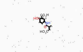 C/C(=C/C(=O)O)C(=O)Nc1ccc(O)c(C(=O)O)c1